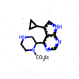 CCOC(=O)N1CCNCC1c1ncnc2[nH]cc(C3CC3)c12